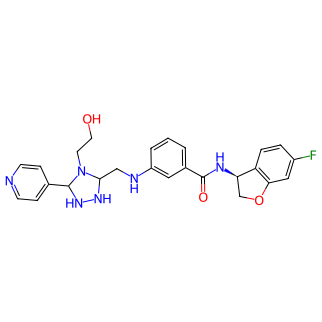 O=C(N[C@@H]1COc2cc(F)ccc21)c1cccc(NCC2NNC(c3ccncc3)N2CCO)c1